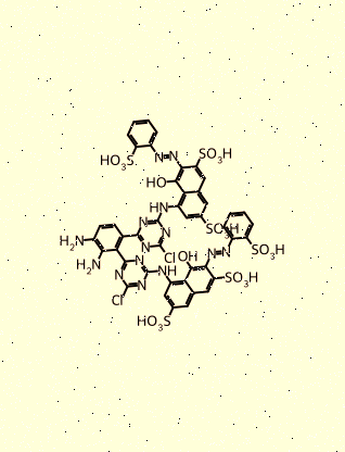 Nc1ccc(-c2nc(Cl)nc(Nc3cc(S(=O)(=O)O)cc4cc(S(=O)(=O)O)c(N=Nc5ccccc5S(=O)(=O)O)c(O)c34)n2)c(-c2nc(Cl)nc(Nc3cc(S(=O)(=O)O)cc4cc(S(=O)(=O)O)c(N=Nc5ccccc5S(=O)(=O)O)c(O)c34)n2)c1N